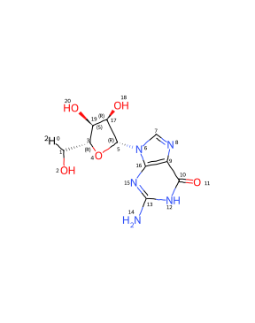 [2H]C(O)[C@H]1O[C@@H](n2cnc3c(=O)[nH]c(N)nc32)[C@H](O)[C@@H]1O